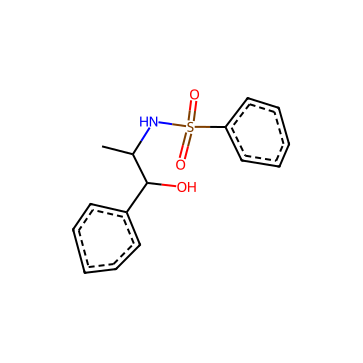 CC(NS(=O)(=O)c1ccccc1)C(O)c1ccccc1